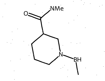 CBN1CCCC(C(=O)NC)C1